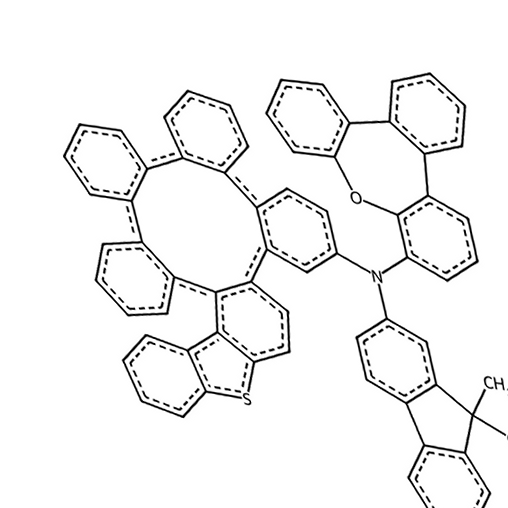 CC1(C)c2ccccc2-c2ccc(N(c3ccc4c5ccccc5c5ccccc5c5ccccc5c5c(ccc6sc7ccccc7c65)c4c3)c3cccc4c3Oc3ccccc3-c3ccccc3-4)cc21